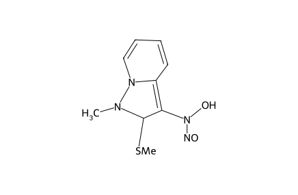 CSC1C(N(O)N=O)=C2C=CC=CN2N1C